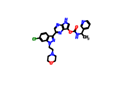 CC(NC(=O)Oc1c[nH]c2ncc(-c3nn(CCN4CCOCC4)c4cc(Cl)ccc34)nc12)c1cccnc1